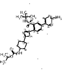 CC(C)OC(=O)NC1CCC(c2ncc(-c3ccc(-c4cnc(N)nc4)cc3S(=O)(=O)NC(C)(C)C)s2)CC1